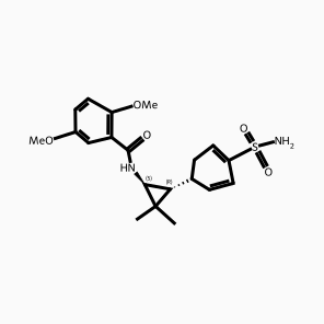 COc1ccc(OC)c(C(=O)N[C@H]2[C@H](C3C=CC(S(N)(=O)=O)=CC3)C2(C)C)c1